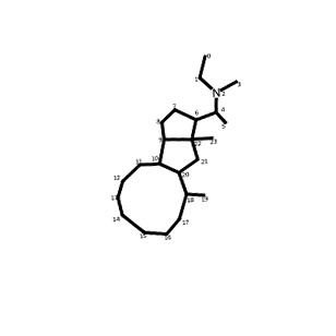 CCN(C)C(C)C1CCC2C3CCCCCCCC(C)C3CC21C